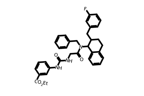 CCOC(=O)c1cccc(NC(=O)NCC(=O)N(Cc2ccccc2)C2c3ccccc3CCC2Cc2cccc(F)c2)c1